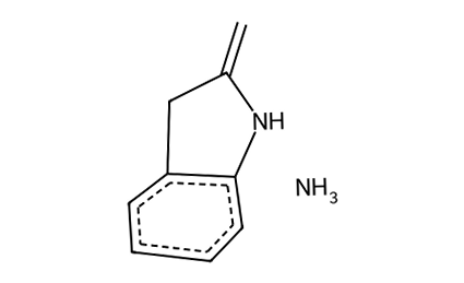 C=C1Cc2ccccc2N1.N